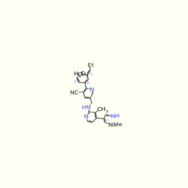 C\C=C/C(=C\C(C)=C\CC)c1ncc(CNc2nccc(/C(C=N)=C/NC)c2C)cc1C#N